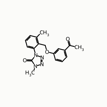 CC(=O)c1cccc(OCc2c(C)cccc2-n2nnn(C)c2=O)c1